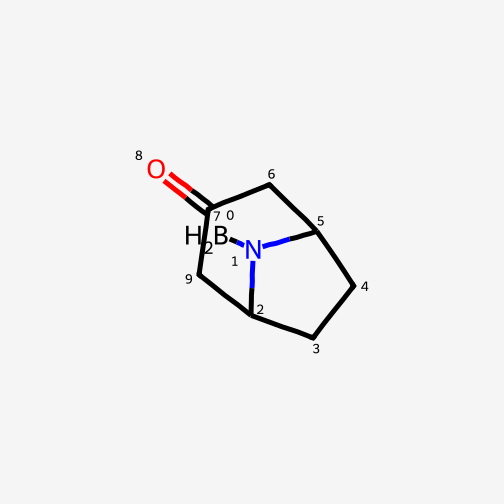 BN1C2CCC1CC(=O)C2